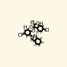 CC(Oc1ccc(Cl)cc1-n1nc2ccccc2n1)(C(=O)O)c1ccc(Cl)cc1